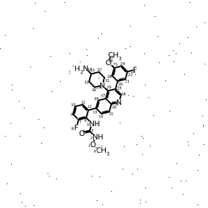 CONC(=O)Nc1c(F)cccc1-c1ccc2ncc(-c3cc(F)cc(OC)c3)c(N3CCC(N)CC3)c2c1